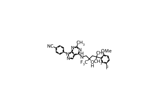 COc1ccc(F)cc1C(C)(C)CC(O)(CNc1nc(C)nc2c1cnn2-c1ccc(C#N)cc1)C(F)(F)F